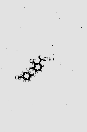 CC(C=O)c1ccc(Oc2ccc(Cl)cc2)c(Cl)c1Cl